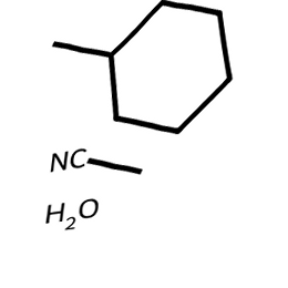 CC#N.CC1CCCCC1.O